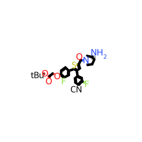 CC(C)(C)OC(=O)COc1ccc(-c2sc(C(=O)N3CCC[C@@H](N)C3)cc2-c2ccc(C#N)c(F)c2)cc1F